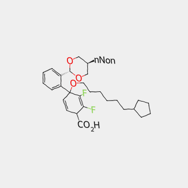 CCCCCCCCC[C@H]1CO[C@H](c2ccccc2C2(OCCCCCCC3CCCC3)C=CC(C(=O)O)C(F)=C2F)OC1